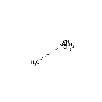 CCCCCCCCCCCCC[CH][Ge]([CH3])([CH3])[CH3]